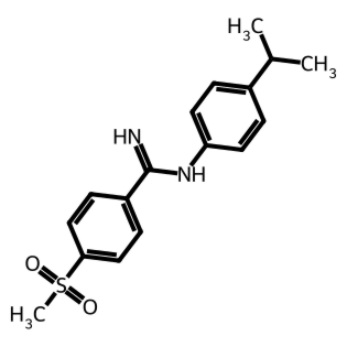 CC(C)c1ccc(NC(=N)c2ccc(S(C)(=O)=O)cc2)cc1